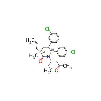 C=CC[C@@]1(C)CC(c2cccc(Cl)c2)[C@@H](c2ccc(Cl)cc2)N(C(CC)CC(C)=O)C1=O